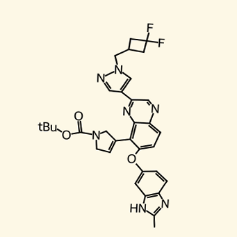 Cc1nc2ccc(Oc3ccc4ncc(-c5cnn(CC6CC(F)(F)C6)c5)nc4c3C3=CCN(C(=O)OC(C)(C)C)C3)cc2[nH]1